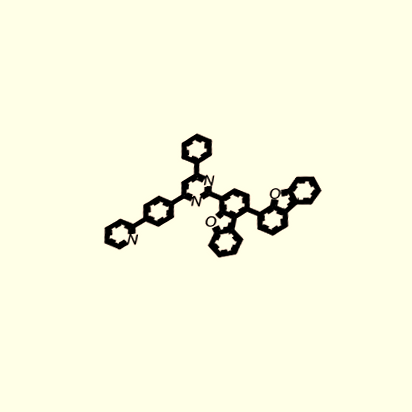 c1ccc(-c2cc(-c3ccc(-c4ccccn4)cc3)nc(-c3ccc(-c4cccc5c4oc4ccccc45)c4c3oc3ccccc34)n2)cc1